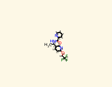 CC(NC(=O)c1ccccn1)c1ccc(OCC(F)(F)F)nc1